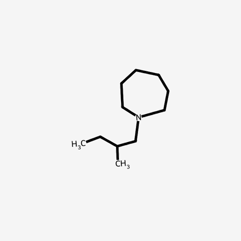 CCC(C)CN1CCCCCC1